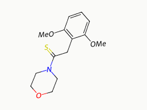 COc1cccc(OC)c1CC(=S)N1CCOCC1